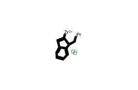 CC(C)CC1[C]([Zr+2])=Cc2ccccc21.[Cl-].[Cl-]